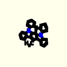 Cc1c2c3ccccc3n3c2c2c4c1c1ccccc1n4-c1ccccc1B2c1ccccc1-3